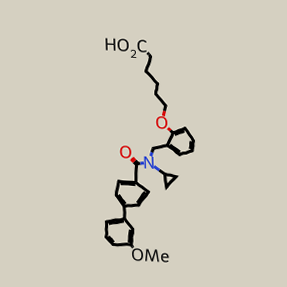 COc1cccc(-c2ccc(C(=O)N(Cc3ccccc3OCCCCCC(=O)O)C3CC3)cc2)c1